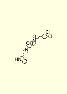 O=C(C=Cc1ccc(Cl)c(Cl)c1)N1CCC(CC(CO)N2CCC(c3c[nH]c4ccccc34)CC2)CC1